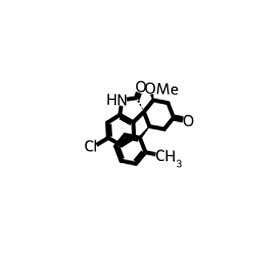 CO[C@H]1CC(=O)C[C@@H](c2ccccc2C)[C@]12C(=O)Nc1cc(Cl)ccc12